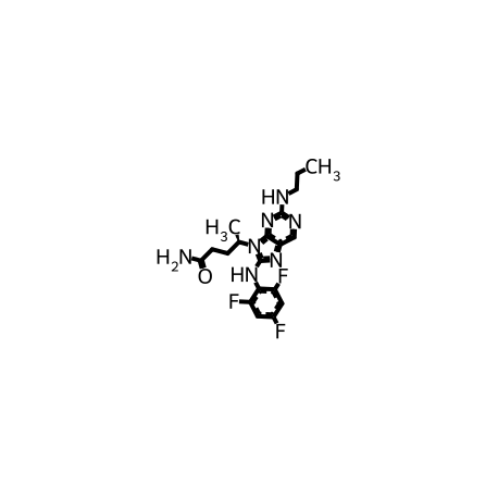 CCCNc1ncc2nc(Nc3c(F)cc(F)cc3F)n([C@H](C)CCC(N)=O)c2n1